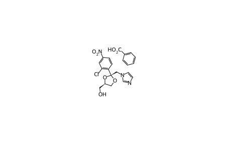 O=C(O)c1ccccc1.O=[N+]([O-])c1ccc([C@]2(Cn3ccnc3)OC[C@@H](CO)O2)c(Cl)c1